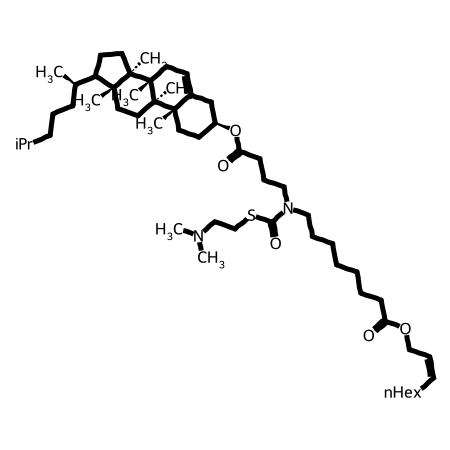 CCCCCC/C=C\COC(=O)CCCCCCCN(CCCC(=O)O[C@H]1CC[C@@]2(C)C(=CC[C@]3(C)[C@]2(C)CC[C@]2(C)C([C@H](C)CCCC(C)C)CC[C@@]32C)C1)C(=O)SCCN(C)C